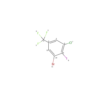 FC(F)(F)c1cc(Cl)c(I)c(Br)c1